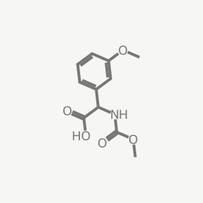 COC(=O)NC(C(=O)O)c1cccc(OC)c1